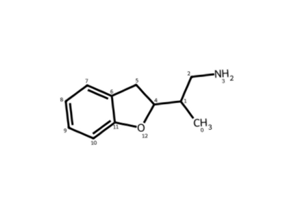 CC(CN)C1Cc2ccccc2O1